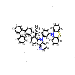 CC1(C)c2ccc3c4ccccc4c4ccccc4c3c2-c2ccc3c4ncccc4n(-c4cccc(N5c6ccccc6Sc6ccccc65)c4)c3c21